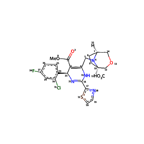 COC(=O)C1=C(CN2[C@H]3CC[C@]2(C(=O)O)COC3)NC(c2nccs2)=N[C@H]1c1ccc(F)cc1Cl